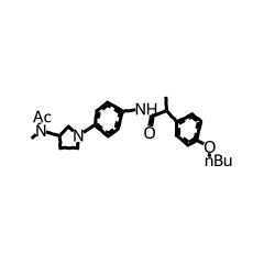 CCCCOc1ccc(C(C)C(=O)Nc2ccc(N3CCC(N(C)C(C)=O)C3)cc2)cc1